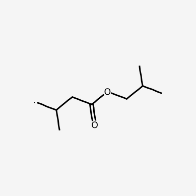 [CH2]C(C)CC(=O)OCC(C)C